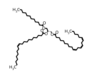 CCCCC/C=C\C/C=C\C/C=C\CCCCCCCCC(=O)OC[C@@H](COC(=O)CCCCCCCCCCC)OC(=O)CCCCCCCCC/C=C\CCCCCCCC